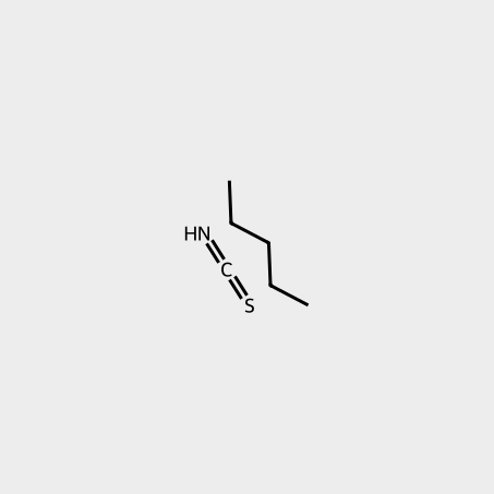 CCCCC.N=C=S